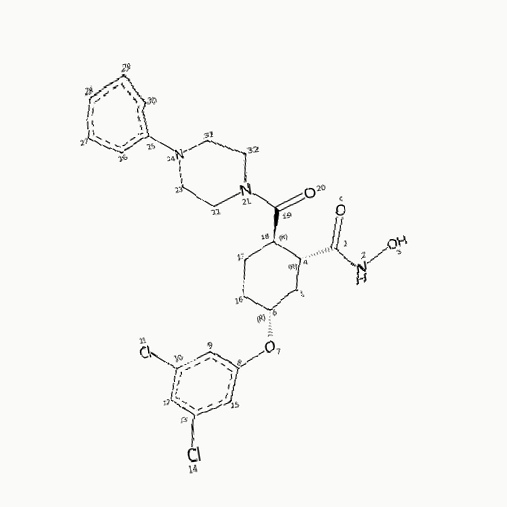 O=C(NO)[C@@H]1C[C@H](Oc2cc(Cl)cc(Cl)c2)CC[C@H]1C(=O)N1CCN(c2ccccc2)CC1